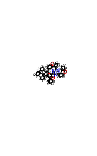 c1ccc2c(c1)-c1ccccc1C21c2ccccc2-c2c(-c3ccc4oc5cccc(-c6nc(-c7cccc8c7oc7ccccc78)nc(-c7cccc8oc9ccccc9c78)n6)c5c4c3)cccc21